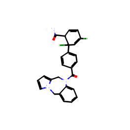 NC(=O)C1C=CC(Cl)=CC1(Cl)c1ccc(C(=O)N2Cc3cccn3Cc3ccccc32)cc1